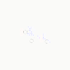 COc1cc2nc(N(C)CC3(c4ccccc4)CCN(OC(=O)Nc4cccnc4)CC3)nc(N)c2cc1OC